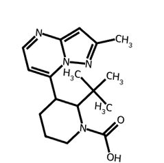 Cc1cc2nccc(C3CCCN(C(=O)O)C3C(C)(C)C)n2n1